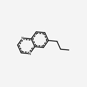 CC[CH]c1ccc2nccnc2c1